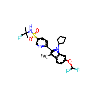 CC(C)(CF)NS(=O)(=O)c1ccc(-c2c(C#N)c3ccc(OC(F)F)cc3n2C2CCCC2)nc1